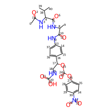 CC(=O)NC(C(=O)NC(C)C(=O)Nc1ccc(C(CNC(=O)O)OC(=O)Oc2ccc([N+](=O)[O-])cc2)cc1)C(C)C